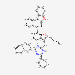 C=CCCc1oc2c(-c3cc4oc5ccccc5c4c4ccccc34)cccc2c1Cc1nc(C2=CC3C=CC=CC3C=C2)nc(-c2ccccc2)n1